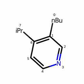 CCCCc1cnccc1C(C)C